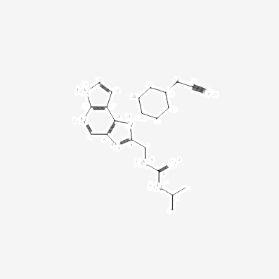 CC(C)NC(=O)NCc1nc2cnc3[nH]ccc3c2n1[C@H]1CC[C@H](CC#N)CC1